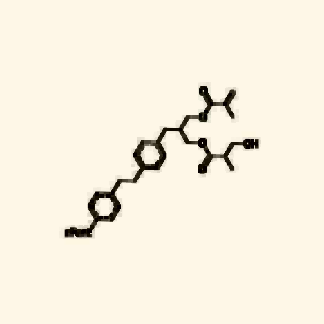 C=C(C)C(=O)OCC(COC(=O)C(C)CO)Cc1ccc(CCc2ccc(CCCCC)cc2)cc1